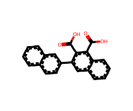 O=C(O)c1c(-c2ccc3ccccc3c2)cc2ccccc2c1C(=O)O